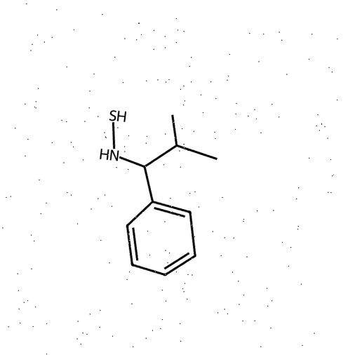 CC(C)C(NS)c1ccccc1